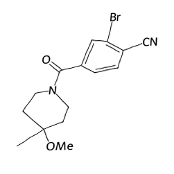 COC1(C)CCN(C(=O)c2ccc(C#N)c(Br)c2)CC1